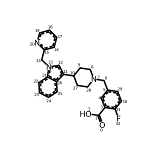 O=C(O)c1cc(CN2CCC(c3cn(Cc4ccccn4)c4ccccc34)CC2)ccc1F